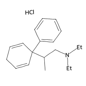 CCN(CC)CC(C)C1(c2ccccc2)C=CCC=C1.Cl